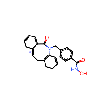 O=C(NO)c1ccc(CN2C(=O)C3=CC=CC/C3=C/CC3=C2C=CCC3)cc1